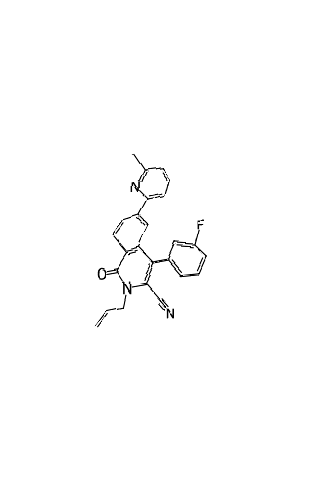 C=CCn1c(C#N)c(-c2cccc(F)c2)c2cc(-c3cccc(C)n3)ccc2c1=O